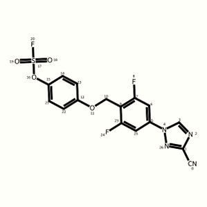 N#Cc1ncn(-c2cc(F)c(COc3ccc(OS(=O)(=O)F)cc3)c(F)c2)n1